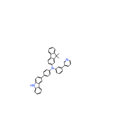 CC1(C)c2ccccc2-c2ccc(N(c3ccc(-c4ccc5[nH]c6ccccc6c5c4)cc3)c3cccc(-c4cccnc4)c3)cc21